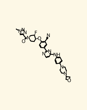 Cn1cc(C(=O)N2CC[C@H](Oc3ccc(-c4nccc(Nc5ccc(N6CCN(C7COC7)CC6)cc5)n4)cc3C#N)[C@H](F)C2)nn1